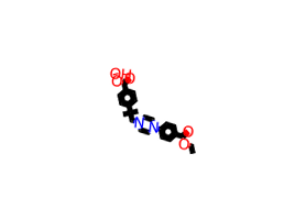 CCOC(=O)c1ccc(N2CCN(CC(C)(C)c3ccc(C(=O)OO)cc3)CC2)cc1